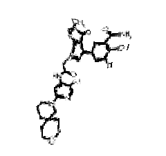 Cn1cnc2c(c(-c3cc(Cl)c(O)c(C(N)=O)c3)cn2CC(=O)Nc2cc(N3CCCC4(CCOCC4)C3)ncc2Cl)c1=O